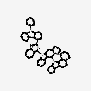 c1ccc(-n2c3ccccc3c3c(-c4nc(-n5c6ccccc6c6c(-n7c8ccccc8c8ccc9ccccc9c87)c7ccccc7cc65)c5ccccc5n4)cccc32)cc1